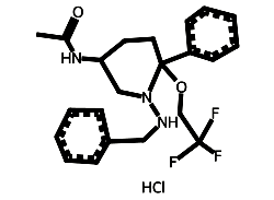 CC(=O)NC1CCC(OCC(F)(F)F)(c2ccccc2)N(NCc2ccccc2)C1.Cl